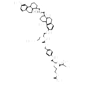 CC(C)C(N)C(=O)N[C@@H](CCCNC(N)=O)C(=O)Nc1ccc(COC(=O)N[C@@H](CCC(=O)O)C(=O)Nc2ccc3c(c2)[C@@]2(C)CCC[C@](C)(C(=O)NC(=O)[C@@]4(C)CCC[C@]5(C)c6cc(N)ccc6CC[C@@H]45)[C@@H]2CC3)cc1